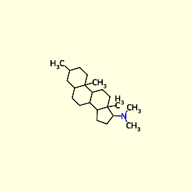 CC1CCC2(C)C(CCC3C2CCC2(C)C3CCC2N(C)C)C1